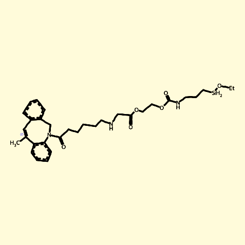 CCO[SiH2]CCCNC(=O)OCCOC(=O)CNCCCCCC(=O)N1Cc2ccccc2/C=C(/C)c2ccccc21